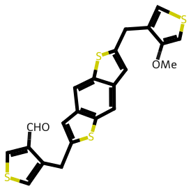 COc1cscc1Cc1cc2cc3sc(Cc4cscc4C=O)cc3cc2s1